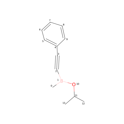 CB(C#Cc1ccccc1)OC(C)C